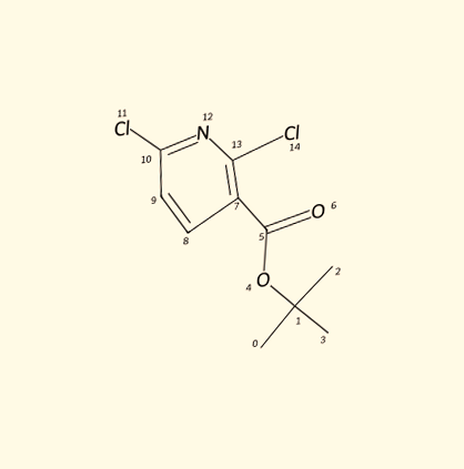 CC(C)(C)OC(=O)c1ccc(Cl)nc1Cl